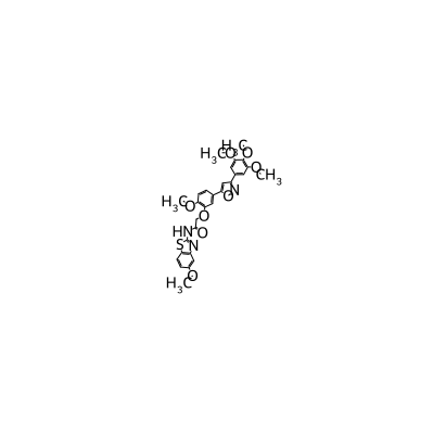 COc1ccc2sc(NC(=O)COc3cc(-c4cc(-c5cc(OC)c(OC)c(OC)c5)no4)ccc3OC)nc2c1